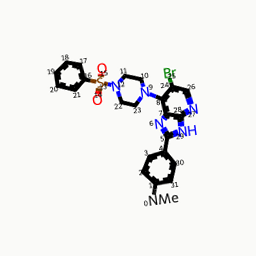 CNc1ccc(-c2nc3c(N4CCN(S(=O)(=O)c5ccccc5)CC4)c(Br)cnc3[nH]2)cc1